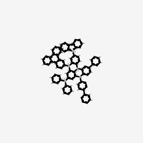 c1ccc(-c2ccc(N3c4ccc(-c5ccccc5)cc4B4c5ccc(-n6c7ccccc7c7ccccc76)cc5N(c5ccc6c7ccccc7c7ccccc7c6c5)c5cc(N(c6ccccc6)c6ccccc6)cc3c54)cc2)cc1